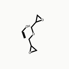 C(OCC1CO1)C1CO1.C=CO